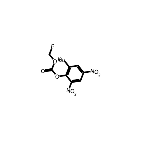 CCC(C)c1cc([N+](=O)[O-])cc([N+](=O)[O-])c1OC(=O)OCF